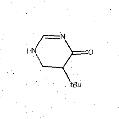 CC(C)(C)C1CNC=NC1=O